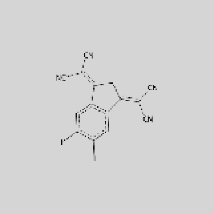 N#CC(C#N)=C1CC(=C(C#N)C#N)c2cc(I)c(I)cc21